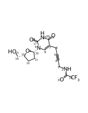 O=C(NCC#CCc1cn([C@@H]2CC[C@H](CO)O2)c(=O)[nH]c1=O)C(F)(F)F